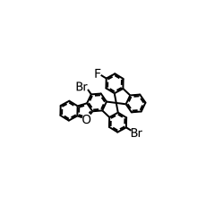 Fc1ccc2c(c1)C1(c3ccccc3-2)c2cc(Br)ccc2-c2c1cc(Br)c1c2oc2ccccc21